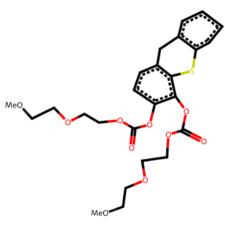 COCCOCCOC(=O)Oc1ccc2c(c1OC(=O)OCCOCCOC)Sc1ccccc1C2